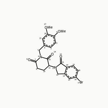 COc1ccc(CN2C(=O)CCC(N3Cc4cc(Br)ccc4C3=O)C2=O)cc1OC